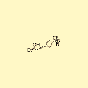 CC[C@@H](O)CC#Cc1ccc(C2(C(F)(F)F)N=N2)cc1